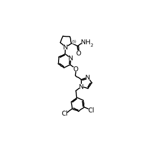 NC(=O)[C@@H]1CCCN1c1cccc(OCc2nccn2Cc2cc(Cl)cc(Cl)c2)n1